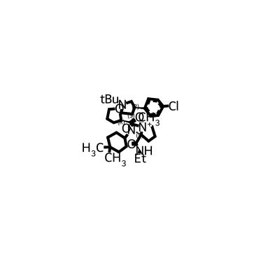 CCNC(=O)[C@]1(N(C(=O)[C@H]2CCCO2)C2CCC(C)(C)CC2)CCC[N+]1(C)C(=O)[C@@H]1CN(C(C)(C)C)C[C@H]1c1ccc(Cl)cc1